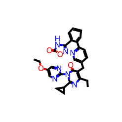 CCOc1cnc(-n2c(C3CC3)nc(CC)c(Cc3ccc(-c4ccccc4-c4noc(=O)[nH]4)nc3)c2=O)nc1